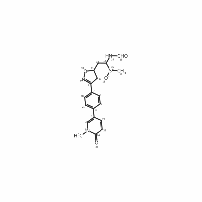 Cn1cc(-c2ccc(C3=NOC(CC(NC=O)[S+](C)[O-])C3)cc2)ccc1=O